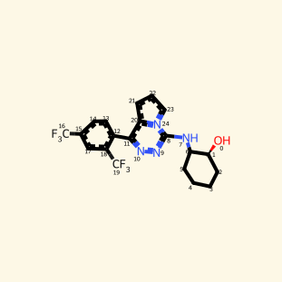 O[C@H]1CCCCC1Nc1nnc(-c2ccc(C(F)(F)F)cc2C(F)(F)F)c2cccn12